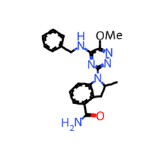 COc1nnc(N2c3cccc(C(N)=O)c3CC2C)nc1NCc1ccccc1